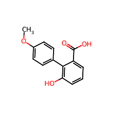 COc1ccc(-c2c(O)cccc2C(=O)O)cc1